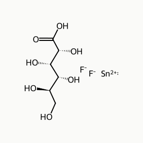 O=C(O)[C@H](O)[C@@H](O)[C@H](O)[C@H](O)CO.[F-].[F-].[Sn+2]